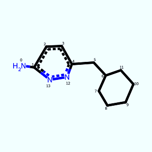 Nc1ccc(CC2CCCCC2)nn1